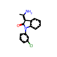 CC(N)=C1C(=O)N(c2cccc(Cl)c2)c2ccccc21